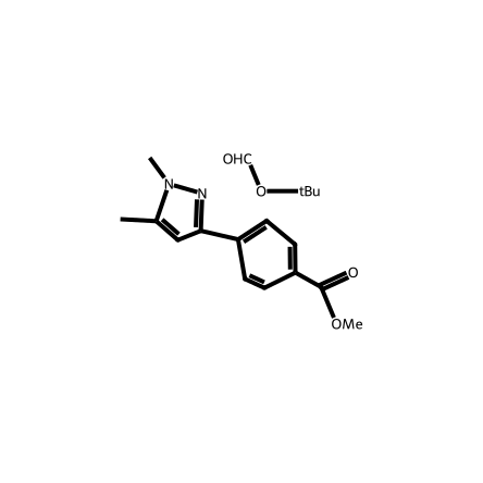 CC(C)(C)OC=O.COC(=O)c1ccc(-c2cc(C)n(C)n2)cc1